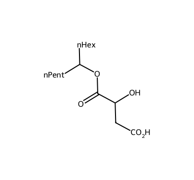 CCCCCCC(CCCCC)OC(=O)C(O)CC(=O)O